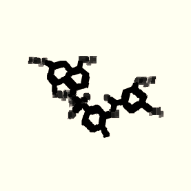 Cc1ccc(S(=O)(=O)Nc2ccc(S(=O)(=O)O)c3cc(S(=O)(=O)O)cc(S(=O)(=O)O)c23)cc1NC(=O)c1cc(N)cc(C(=O)O)c1